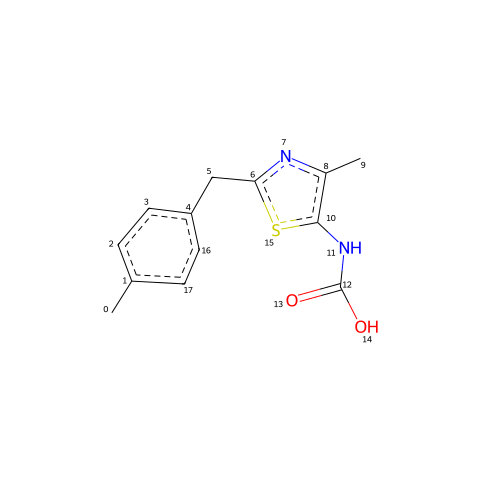 Cc1ccc(Cc2nc(C)c(NC(=O)O)s2)cc1